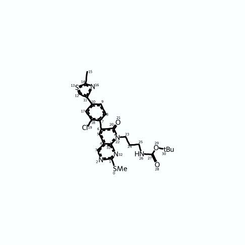 CSc1ncc2cc(-c3ccc(-c4csc(C)n4)cc3Cl)c(=O)n(CCCNC(=O)OC(C)(C)C)c2n1